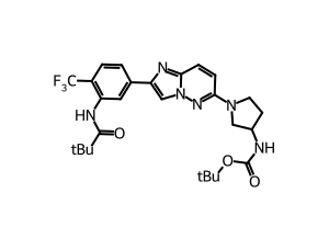 CC(C)(C)OC(=O)NC1CCN(c2ccc3nc(-c4ccc(C(F)(F)F)c(NC(=O)C(C)(C)C)c4)cn3n2)C1